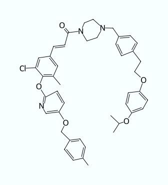 Cc1ccc(COc2ccc(Oc3c(C)cc(C=CC(=O)N4CCN(Cc5ccc(CCOc6ccc(OC(C)C)cc6)cc5)CC4)cc3Cl)nc2)cc1